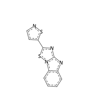 c1ccc2c(c1)nc1nc(-c3ccns3)sn12